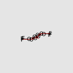 Cc1cc(OC(=O)c2ccc(OCCOCCCCCCCC(F)(F)F)cc2)ccc1OC(=O)c1ccc(OCCOCCCCCCCC(F)(F)F)cc1